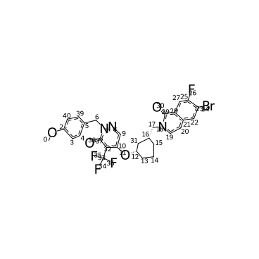 COc1ccc(Cn2ncc(O[C@H]3CCC[C@@H](Cn4ccc5cc(Br)c(F)cc5c4=O)C3)c(C(F)(F)F)c2=O)cc1